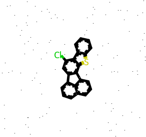 Clc1cc2c(c3sc4ccccc4c13)-c1cccc3cccc-2c13